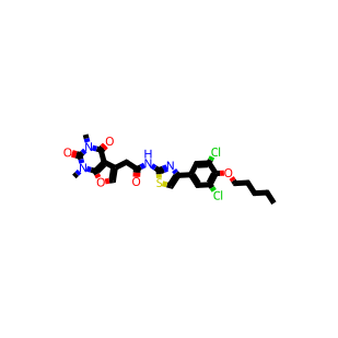 CCCCCOc1c(Cl)cc(-c2csc(NC(=O)Cc3coc4c3c(=O)n(C)c(=O)n4C)n2)cc1Cl